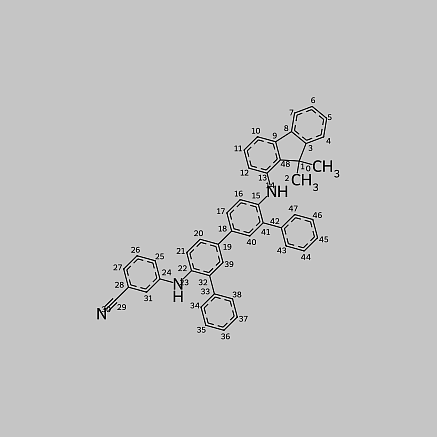 CC1(C)c2ccccc2-c2cccc(Nc3ccc(-c4ccc(Nc5cccc(C#N)c5)c(-c5ccccc5)c4)cc3-c3ccccc3)c21